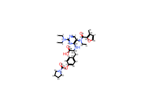 CCN(CC)c1ncc(N(CC)C(=O)c2occc2C)c(N[C@@H](Cc2ccc(OC(=O)N3CCCC3)cc2)C(=O)O)n1